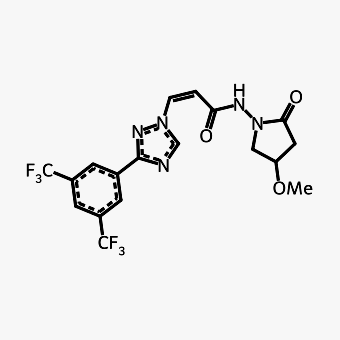 COC1CC(=O)N(NC(=O)/C=C\n2cnc(-c3cc(C(F)(F)F)cc(C(F)(F)F)c3)n2)C1